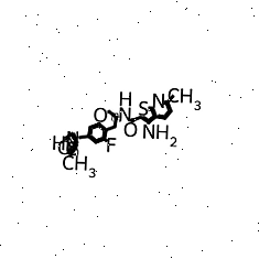 Cc1ccc2c(N)c(C(=O)N[C@H]3COc4cc(N5C[C@@]6(C)CNCC5CO6)cc(F)c4C3)sc2n1